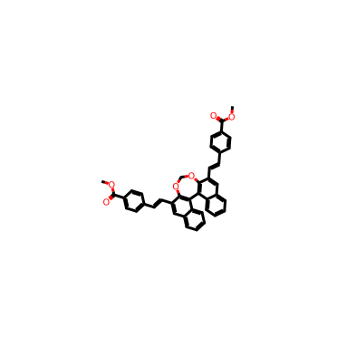 COC(=O)c1ccc(/C=C/c2cc3ccccc3c3c2OCOc2c(/C=C/c4ccc(C(=O)OC)cc4)cc4ccccc4c2-3)cc1